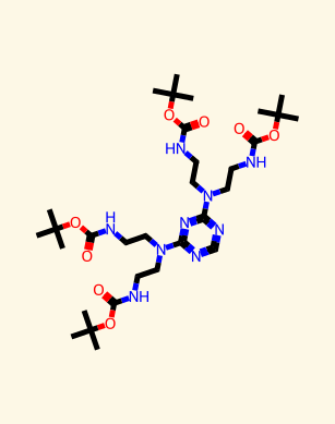 CC(C)(C)OC(=O)NCCN(CCNC(=O)OC(C)(C)C)c1ncnc(N(CCNC(=O)OC(C)(C)C)CCNC(=O)OC(C)(C)C)n1